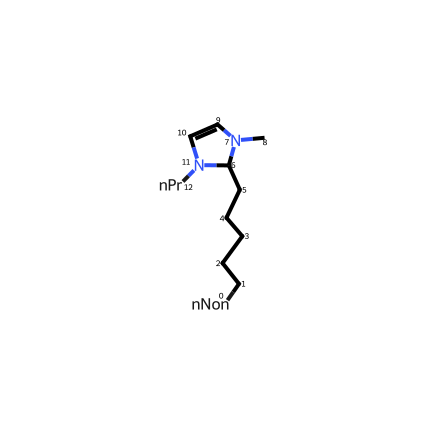 CCCCCCCCCCCCCCC1N(C)C=CN1CCC